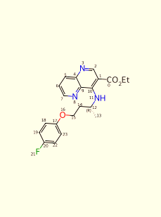 CCOC(=O)c1cnc2cccnc2c1N[C@H](C)CCOc1ccc(F)cc1